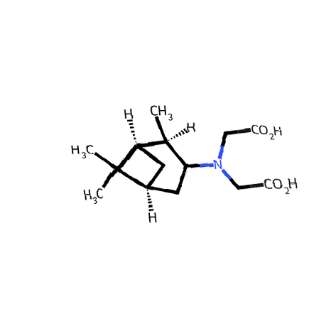 C[C@H]1C(N(CC(=O)O)CC(=O)O)C[C@@H]2C[C@H]1C2(C)C